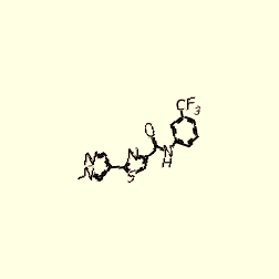 Cn1cc(-c2nc(C(=O)Nc3cccc(C(F)(F)F)c3)cs2)cn1